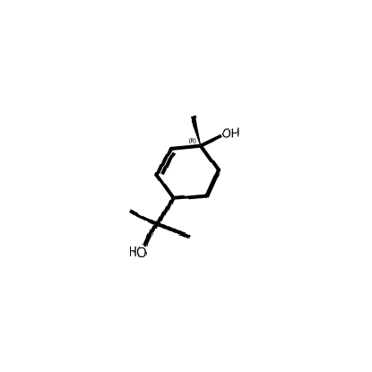 CC(C)(O)C1C=C[C@](C)(O)CC1